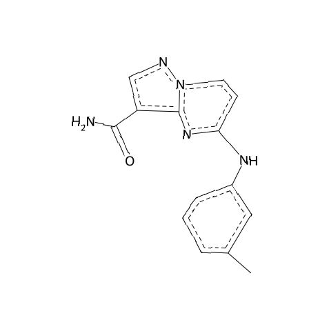 Cc1cccc(Nc2ccn3ncc(C(N)=O)c3n2)c1